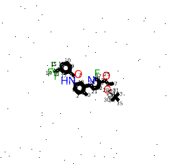 Cc1ccc(NC(=O)c2cccc(C(F)(F)F)c2)cc1-c1ccc(C(=O)C(C)O[Si](C)(C)C(C)(C)C)c(F)n1